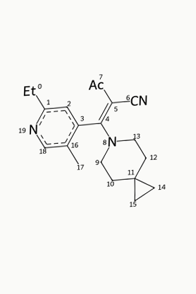 CCc1cc(/C(=C(/C#N)C(C)=O)N2CCC3(CC2)CC3)c(C)cn1